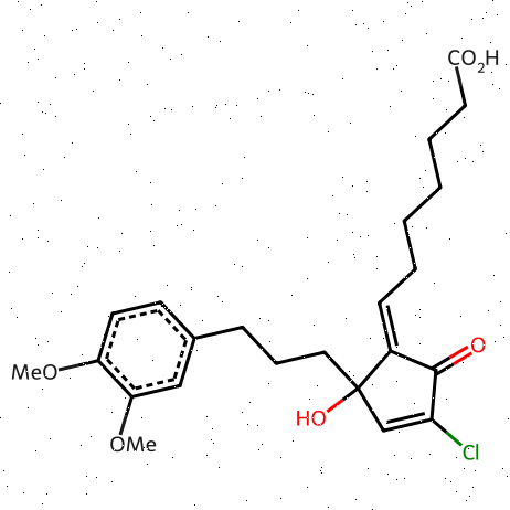 COc1ccc(CCCC2(O)C=C(Cl)C(=O)C2=CCCCCCC(=O)O)cc1OC